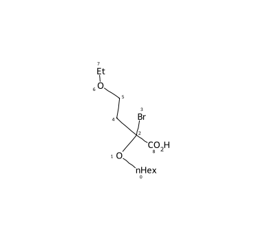 CCCCCCOC(Br)(CCOCC)C(=O)O